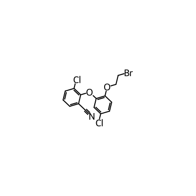 N#Cc1cccc(Cl)c1Oc1cc(Cl)ccc1OCCBr